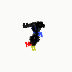 COc1ccccc1-c1ncnc(Nc2cccc(C[SH](C)O)c2)n1